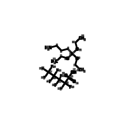 CCO[Si](CCCN)(OCC)OCC.O=S(=O)(O)C(F)(F)C(F)(F)C(F)(F)C(F)(F)F